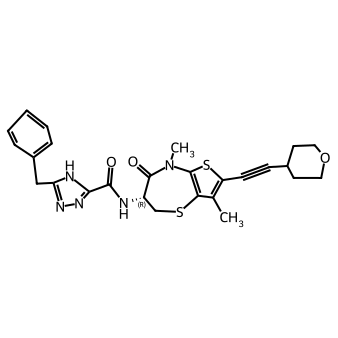 Cc1c(C#CC2CCOCC2)sc2c1SC[C@H](NC(=O)c1nnc(Cc3ccccc3)[nH]1)C(=O)N2C